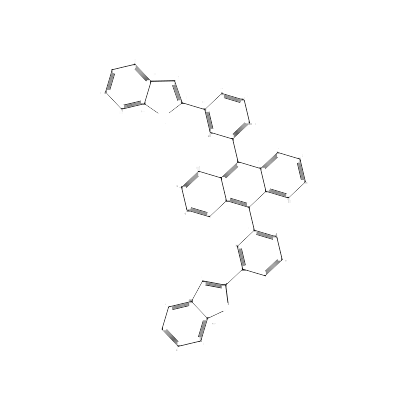 c1cc(-c2cc3ccccc3o2)cc(-c2c3ccccc3c(-c3cccc(-c4cc5ccccc5o4)c3)c3ccccc23)c1